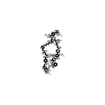 Cc1cc(Nc2ncc(Cl)c(Nc3ccccc3S(=O)(=O)C(C)C)n2)c(OC(C)C)cc1C1CCN(C(=O)CCCC(=O)N[C@H](C(=O)N2C[C@H](NC(=O)CCCCn3cc(CNC(=O)CC[C@H](NC(=O)c4ccc(NCc5cnc6nc(N)[nH]c(=O)c6n5)cc4)C(=O)O)nn3)C[C@H]2C(=O)N[C@@H](C)c2ccc(-c3scnc3C)cc2)C(C)(C)C)CC1